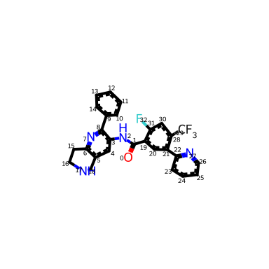 O=C(Nc1cc2c(nc1-c1ccccc1)CCNC2)c1cc(-c2ccccn2)c(C(F)(F)F)cc1F